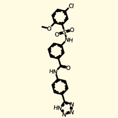 COc1ccc(Cl)cc1S(=O)(=O)Nc1cccc(C(=O)Nc2ccc(-c3nnn[nH]3)cc2)c1